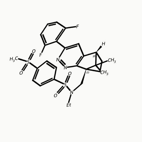 CCN(C[C@@]12CC[C@@H](c3cc(-c4c(F)cccc4F)nnc31)C2(C)C)S(=O)(=O)c1ccc(S(C)(=O)=O)cc1